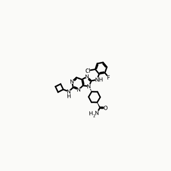 NC(=O)[C@H]1CC[C@H](n2c(Nc3c(F)cccc3Cl)nc3cnc(NC4CCC4)nc32)CC1